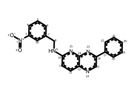 O=[N+]([O-])c1cccc(CNc2ccc3ncc(-c4ccccc4)nc3n2)c1